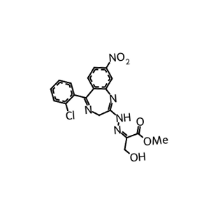 COC(=O)C(CO)=NNC1=Nc2cc([N+](=O)[O-])ccc2C(c2ccccc2Cl)=NC1